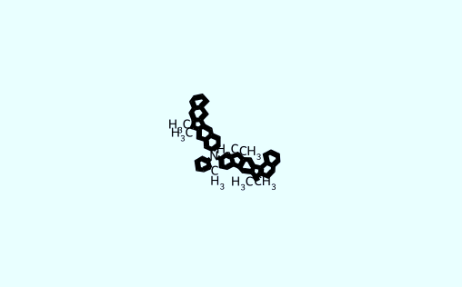 Cc1ccccc1N(c1ccc2c(c1)C(C)(C)c1cc3c(cc1-2)C(C)(C)c1ccc2ccccc2c1-3)c1ccc2cc3c(cc2c1)C(C)(C)c1cc2ccccc2cc1-3